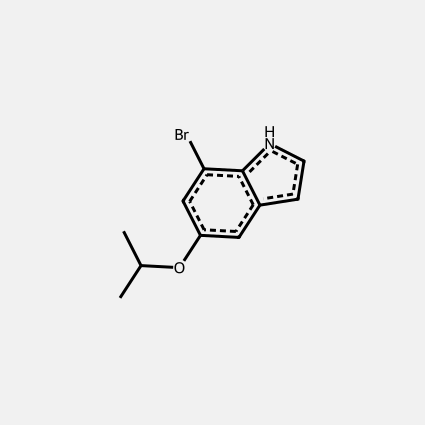 CC(C)Oc1cc(Br)c2[nH]ccc2c1